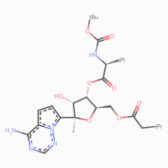 CC(C)CC(=O)OC[C@H]1O[C@@](C)(c2ccc3c(N)ncnn23)[C@H](O)[C@@H]1OC(=O)[C@@H](NC(=O)OC(C)(C)C)C(C)C